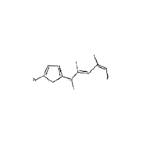 CC(=C/F)/C=C(\C)N(C)C1=CC=C(C(C)C)C1